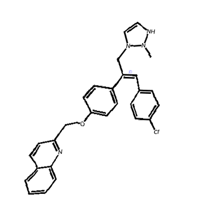 CN1NC=CN1C/C(=C/c1ccc(Cl)cc1)c1ccc(OCc2ccc3ccccc3n2)cc1